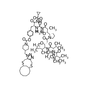 CC[C@H](C)[C@@H]([C@@H](CC(=O)N1CCC[C@H]1[C@H](OC)[C@@H](C)C(=O)NC(=O)N[C@@H](Cc1ccc(OC(=O)N2CCC(Cn3nnc4c3CSC3CCCCCCCC(C3)SC4)CC2)cc1)C(=O)NS(=O)(=O)C1CC1)OC)N(C)C(=O)[C@@H](NC(=O)C(C(C)C)N(C)C)C(C)C